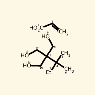 C=CC(=O)O.CCC(C)(C)C(CO)(CO)CO